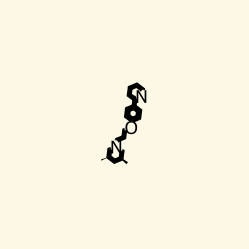 C[C@H]1C[C@H](C)CN(CCCOc2ccc(C3=NCCCC3)cc2)C1